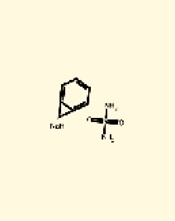 NS(N)(=O)=O.[NaH].c1ccc2c(c1)C2